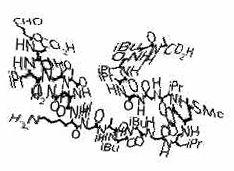 CCC(C)C(NC(=O)C(C)NC(=O)CNC(=O)C(CCCCN)NC(=O)C(CC(N)=O)NC(=O)C(CO)NC(=O)CNC(=O)C(NC(=O)C(CC(=O)O)NC(=O)CCCC=O)C(C)C)C(=O)NC(C(=O)NCC(=O)NC(CC(C)C)C(=O)NC(CCSC)C(=O)NC(C(=O)NCC(=O)NCC(=O)NC(C(=O)NC(C(=O)NC(C(=O)NC(C)C(=O)O)C(C)CC)C(C)C)C(C)C)C(C)C)C(C)CC